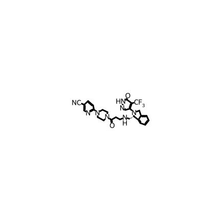 N#Cc1ccc(N2CCN(C(=O)CCNC[C@H]3c4ccccc4CN3c3cn[nH]c(=O)c3C(F)(F)F)CC2)nc1